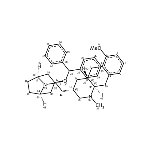 COc1cccc2c1C[C@H]1C[C@@H](CCN3[C@@H]4CC[C@H]3C[C@@H](OC(c3ccccc3)c3ccccc3)C4)CN(C)[C@@H]1C2